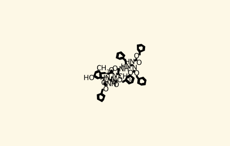 Cc1cc(O)cc(C)c1C[C@H](NC(=NC(=O)OCc1ccccc1)NC(=O)OCc1ccccc1)C(=O)N[C@H](C)C(=O)NC[C@H](Cc1ccccc1)NC(=NC(=O)OCc1ccccc1)NC(=O)OCc1ccccc1